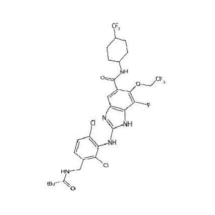 CC(C)(C)C(=O)NCc1ccc(Cl)c(Nc2nc3cc(C(=O)NC4CCC(C(F)(F)F)CC4)c(OCC(F)(F)F)c(F)c3[nH]2)c1Cl